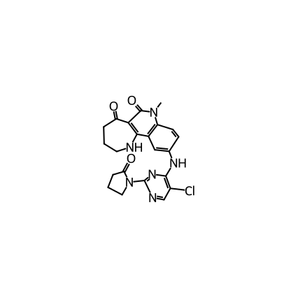 Cn1c(=O)c2c(c3cc(Nc4nc(N5CCCC5=O)ncc4Cl)ccc31)NCCCC2=O